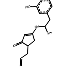 C=CCC1CC(NC(CCC)Cc2cccc(C#N)c2)=CC1=O